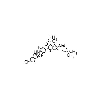 CC(C)n1c(=O)c(-c2cc(F)c(NS(=O)(=O)Cc3ccc(Cl)cc3)c(F)c2)nc2cnc(N[C@H]3CC[C@H](N(C)C)CC3)nc21